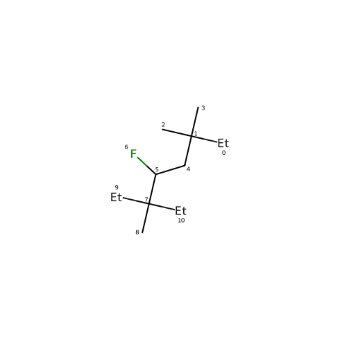 CCC(C)(C)CC(F)C(C)(CC)CC